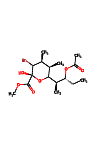 CC[C@@H](OC(C)=O)[C@@H](C)C1O[C@](O)(C(=O)OC)C(Br)[C@@H](C)[C@H]1C